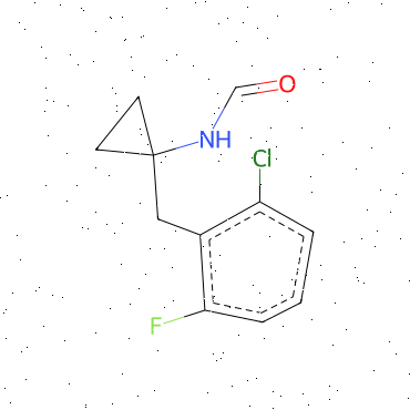 O=CNC1(Cc2c(F)cccc2Cl)CC1